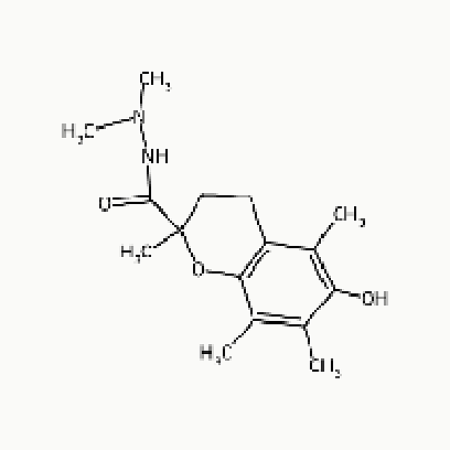 Cc1c(C)c2c(c(C)c1O)CCC(C)(C(=O)NN(C)C)O2